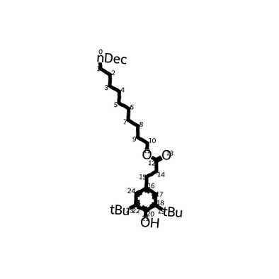 CCCCCCCCCCCCCCCCCCCCOC(=O)CCc1cc(C(C)(C)C)c(O)c(C(C)(C)C)c1